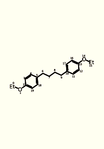 CCOc1ccc(CCCCc2ccc(OCC)cc2)cc1